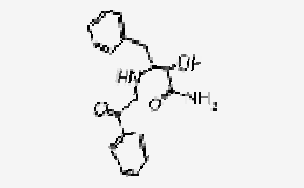 NC(=O)[C@H](O)[C@H](Cc1ccccc1)NCC(=O)c1ccccc1